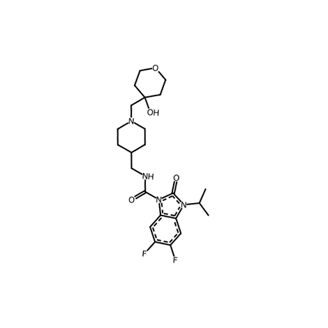 CC(C)n1c(=O)n(C(=O)NCC2CCN(CC3(O)CCOCC3)CC2)c2cc(F)c(F)cc21